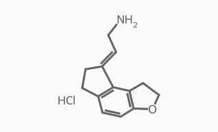 Cl.NCC=C1CCc2ccc3c(c21)CCO3